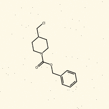 O=C(OCc1ccccc1)N1CCC(CCl)CC1